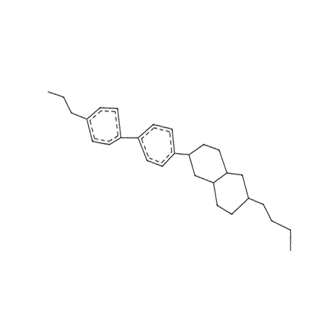 CCCCC1CCC2CC(c3ccc(-c4ccc(CCC)cc4)cc3)CCC2C1